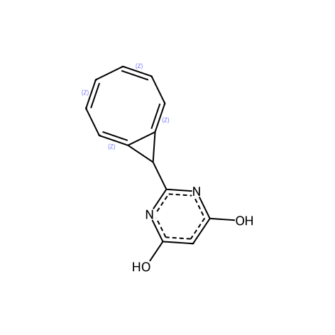 Oc1cc(O)nc(C2C3=C/C=C\C=C/C=C\32)n1